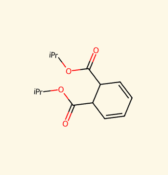 CC(C)OC(=O)C1C=CC=CC1C(=O)OC(C)C